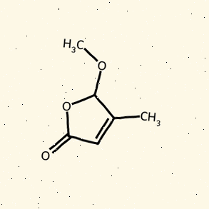 COC1OC(=O)C=C1C